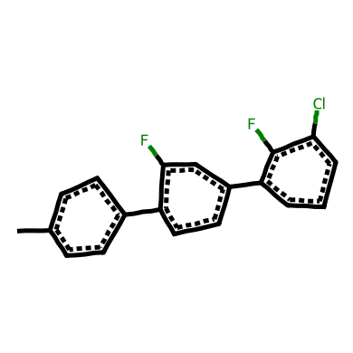 Cc1ccc(-c2ccc(-c3cccc(Cl)c3F)cc2F)cc1